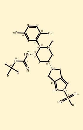 CN1C[C@H](N2Cc3cn(S(C)(=O)=O)nc3C2)C[C@H](NC(=O)OC(C)(C)C)[C@H]1c1cc(F)ccc1F